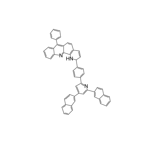 C1=CC(c2ccc(-c3cc(-c4ccc5ccccc5c4)cc(-c4ccc5ccccc5c4)n3)cc2)Nc2c1ccc1c(-c3ccccc3)c3ccccc3nc21